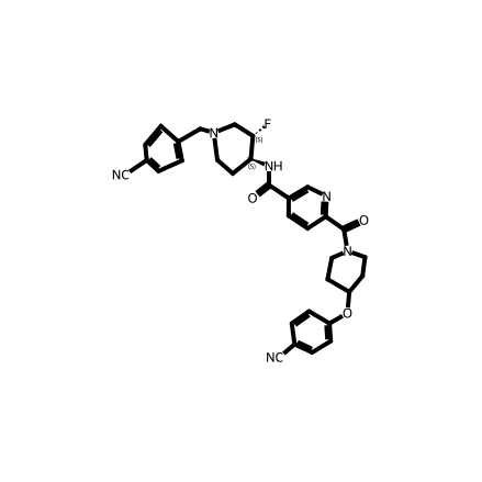 N#Cc1ccc(CN2CC[C@H](NC(=O)c3ccc(C(=O)N4CCC(Oc5ccc(C#N)cc5)CC4)nc3)[C@@H](F)C2)cc1